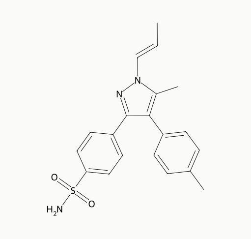 CC=Cn1nc(-c2ccc(S(N)(=O)=O)cc2)c(-c2ccc(C)cc2)c1C